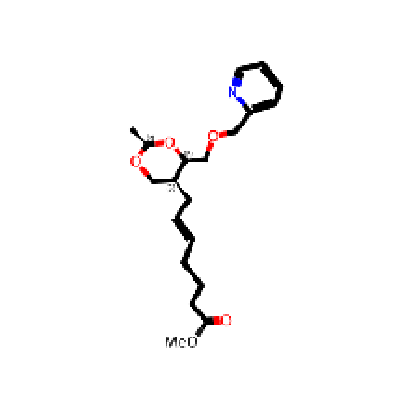 COC(=O)CCCC=CC[C@H]1CO[C@@H](C)O[C@H]1COCc1ccccn1